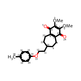 COC1=C(OC)C(=O)C2=C(CCC(CCOc3ccc(C)cc3)CC2)C1=O